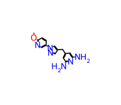 COc1ccc(-n2cc(Cc3cc(N)nc(N)c3)cn2)cn1